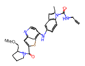 C#CCNC(=O)n1c(C)cc2cc(Nc3ccnc4cc(C(=O)N5CCCC5COC)sc34)ccc21